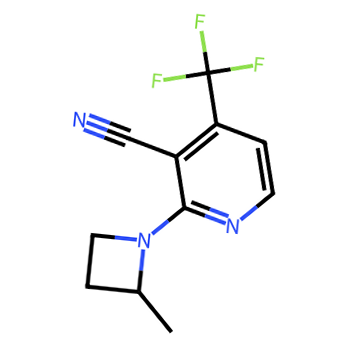 CC1CCN1c1nccc(C(F)(F)F)c1C#N